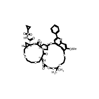 COc1cc2nc(-c3ccccc3)cc3c2cc1CCCCC(C)(C)COC(=O)N[C@H]1CCCCCCC[C@@H]2C[C@@]2(C(=O)NS(=O)(=O)C2CC2)NC(=O)[C@@H]2C[C@H](CN2C1=O)O3